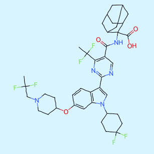 CC(F)(F)CN1CCC(Oc2ccc3c(-c4ncc(C(=O)NC5(C(=O)O)C6CC7CC(C6)CC5C7)c(C(C)(F)F)n4)cn(C4CCC(F)(F)CC4)c3c2)CC1